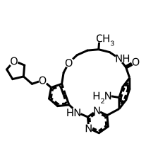 CC1CCOCc2cc(ccc2OCC2CCOC2)Nc2nccc(n2)-c2ccc(cc2N)C(=O)NC1